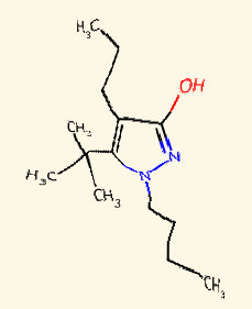 CCCCn1nc(O)c(CCC)c1C(C)(C)C